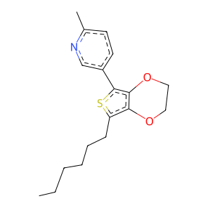 CCCCCCc1sc(-c2ccc(C)nc2)c2c1OCCO2